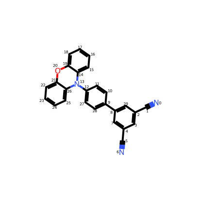 N#Cc1cc(C#N)cc(-c2ccc(N3c4ccccc4Oc4ccccc43)cc2)c1